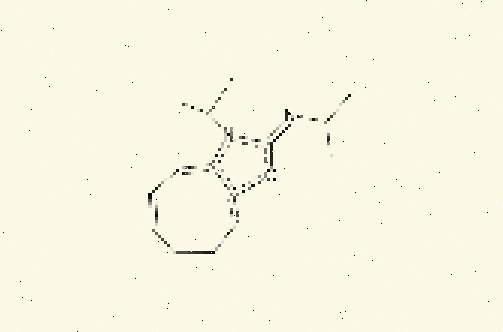 CC(C)/N=c1\oc2/c(n1C(C)C)=C\C=C/C=C\C=2